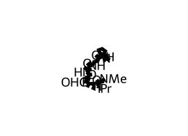 CNCC(=O)N(C(C)C)C(C)CC(C)N(C=O)C(C)(C)C(=O)NC(C)(C)C(=O)NCCC(=O)NC1(CN(C)C)CCCC1